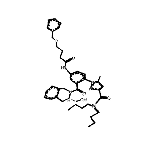 CCCCN(CCCC)C(=O)c1cc(C)n(-c2ccc(NC(=O)CCCOCc3ccccc3)cc2C(=O)N2Cc3ccccc3C[C@H]2CO)n1